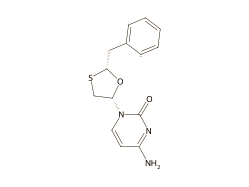 Nc1ccn([C@@H]2CS[C@H](Cc3[c]cccc3)O2)c(=O)n1